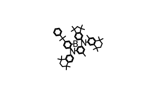 Cc1cc2c3c(c1)N(c1cc4c(cc1C)C(C)(C)CCC4(C)C)c1cc4c(cc1B3c1cc(C(C)(C)c3ccccc3)ccc1N2c1ccc2c(c1)C(C)(C)CCC2(C)C)C(C)(C)CC4(C)C